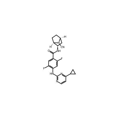 N#CN1[C@H]2CC[C@@H]1[C@H](NC(=O)c1cc(F)c(Nc3nccc(C4CC4)n3)cc1F)C2